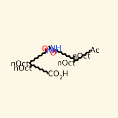 CCCCCCCCC(CCCCCCCCC(C)=O)C(CCCCCCCC)CCCCCCCCC(=O)NC(C)NC(=O)CCCCCCCCC(CCCCCCCC)C(CCCCCCCC)CCCCCCCCC(=O)O